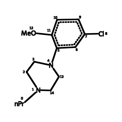 CCCN1CCN(c2cc(Cl)ccc2OC)CC1